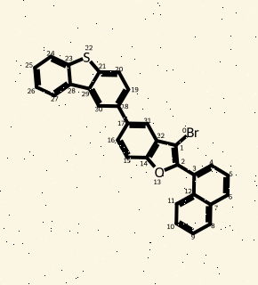 Brc1c(-c2cccc3ccccc23)oc2ccc(-c3ccc4sc5ccccc5c4c3)cc12